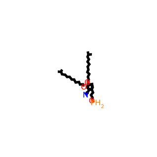 CC(C)CCCCCCCCCCOc1ccc(CCCOP)c(C#N)c1OCCCCCCCCCCC(C)C